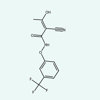 C/C(O)=C(/C#N)C(=O)NOc1cccc(C(F)(F)F)c1